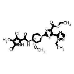 CCOC(=O)c1sc(N2CC[C@@H](NC(=O)c3[nH]c(Cl)c(C)c3Cl)[C@@H](OC)C2)nc1-c1ncnn1CC